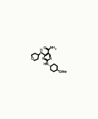 CO[C@H]1CC[C@H](Nc2ncc(C(N)=O)c(NC3CCOCC3)n2)CC1